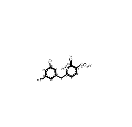 O=C(O)c1ccc(Cc2cc(F)cc(F)c2)[nH]c1=O